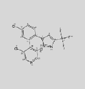 FC(F)(F)c1cn(-c2ccc(Cl)cc2-c2c(Cl)cncc2Cl)nn1